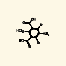 Cl.Nc1c(Br)c(C(=O)O)c(Br)c(C(=O)O)c1Br